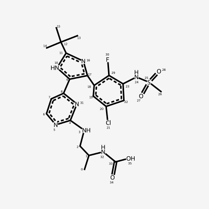 CC(CNc1nccc(-c2[nH]c(C(C)(C)C)nc2-c2cc(Cl)cc(NS(C)(=O)=O)c2F)n1)NC(=O)O